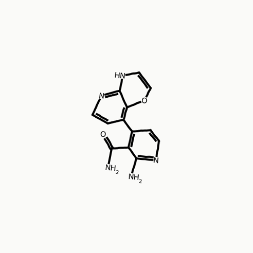 NC(=O)c1c(-c2ccnc3c2OC=CN3)ccnc1N